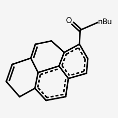 CCCCC(=O)c1ccc2ccc3c4c2c1CC=C4C=CC3